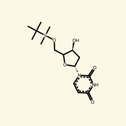 CC(C)(C)[Si](C)(C)OCC1O[C@@H](n2ccc(=O)[nH]c2=O)C[C@@H]1O